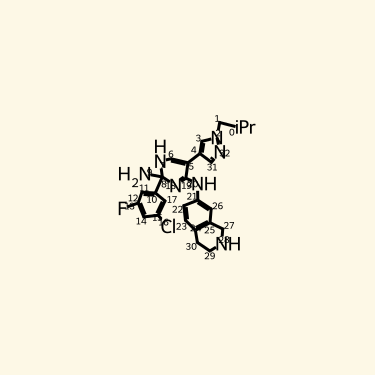 CC(C)Cn1cc(C2=CNC(N)(c3cc(F)cc(Cl)c3)N=C2Nc2ccc3c(c2)CNCC3)cn1